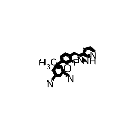 CCc1ccc(Cc2n[nH]c3ncccc23)c(F)c1OC1(C#N)C=CC=C(C#N)C1